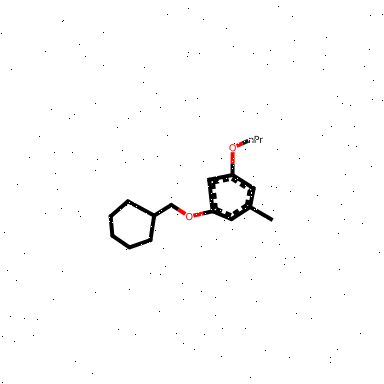 CCCOc1cc(C)cc(OCC2CCCCC2)c1